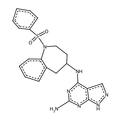 Nc1nc(NC2CCN(S(=O)(=O)c3ccccc3)c3ccccc3C2)c2cn[nH]c2n1